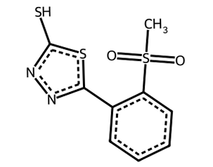 CS(=O)(=O)c1ccccc1-c1nnc(S)s1